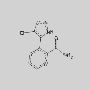 NC(=O)c1ncccc1-c1[nH]ncc1Cl